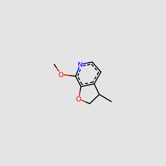 COc1nccc2c1OCC2C